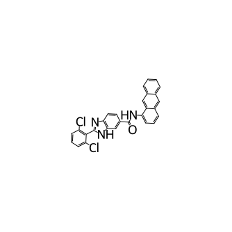 O=C(Nc1cccc2cc3ccccc3cc12)c1ccc2nc(-c3c(Cl)cccc3Cl)[nH]c2c1